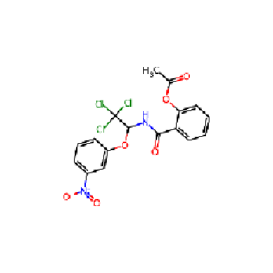 CC(=O)Oc1ccccc1C(=O)NC(Oc1cccc([N+](=O)[O-])c1)C(Cl)(Cl)Cl